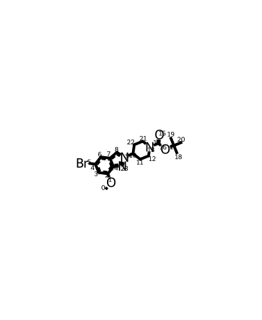 COc1cc(Br)cc2cn(C3CCN(C(=O)OC(C)(C)C)CC3)nc12